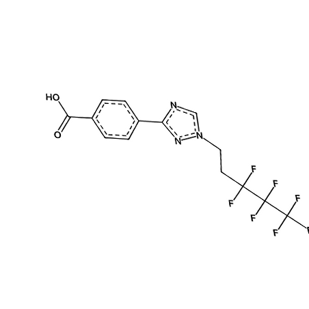 O=C(O)c1ccc(-c2ncn(CCC(F)(F)C(F)(F)C(F)(F)F)n2)cc1